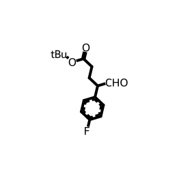 CC(C)(C)OC(=O)CCC(C=O)c1ccc(F)cc1